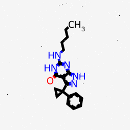 CCCCCNc1nc2[nH]nc(C3(c4ccccc4)CC3)c2c(=O)[nH]1